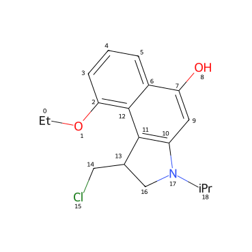 CCOc1cccc2c(O)cc3c(c12)C(CCl)CN3C(C)C